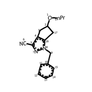 CCCOC1Cc2c(C#N)nn(Cc3ccccc3)c2C1